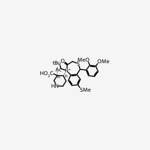 COc1cccc(C2SCC(=O)[N+](CC(C)(C)C)([C@@H]3CCNC[C@@]3(C(C)=O)C(=O)O)c3ccc(SC)cc32)c1OC